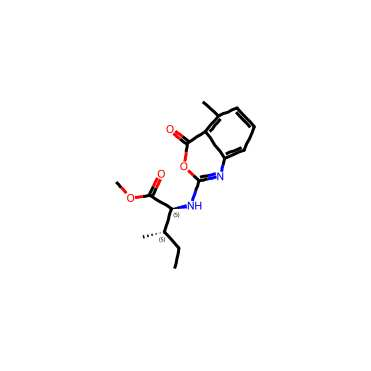 CC[C@H](C)[C@H](Nc1nc2cccc(C)c2c(=O)o1)C(=O)OC